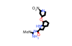 CNC(N)=NC(=O)c1cc2cccc(Oc3ccnc([N+](=O)[O-])c3)c2[nH]1